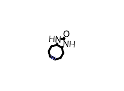 O=C1NC2CC/C=C\CCC2N1